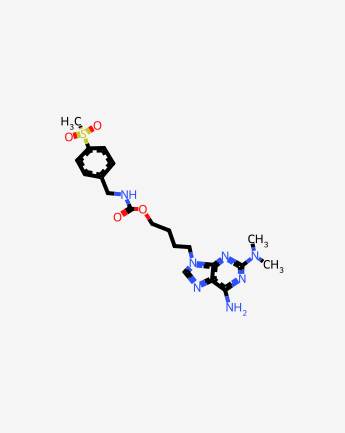 CN(C)c1nc(N)c2ncn(CCCCOC(=O)NCc3ccc(S(C)(=O)=O)cc3)c2n1